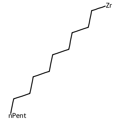 CCCCCCCCCCCCC[CH2][Zr]